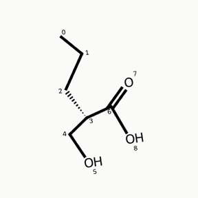 CCC[C@@H](CO)C(=O)O